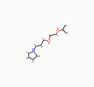 CC(C)OCCOCCCN1CCCC1